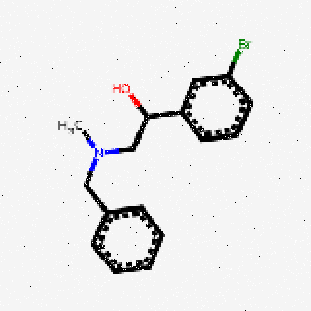 CN(Cc1ccccc1)CC(O)c1cccc(Br)c1